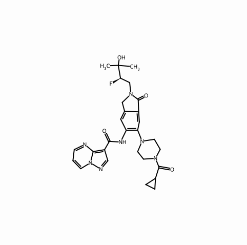 CC(C)(O)[C@H](F)CN1Cc2cc(NC(=O)c3cnn4cccnc34)c(N3CCN(C(=O)C4CC4)CC3)cc2C1=O